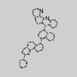 c1ccc(-c2ccc3ccc4c(-c5ccc(-c6c7ccccc7nc7c6ccc6cccnc67)c6ccccc56)cccc4c3c2)cc1